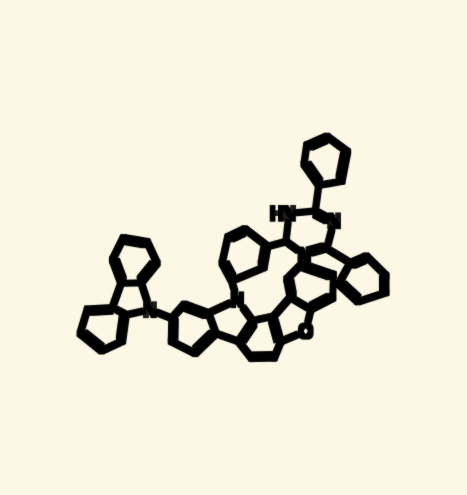 c1ccc(C2=NC(c3cccc(-n4c5cc(-n6c7ccccc7c7ccccc76)ccc5c5ccc6oc7ccccc7c6c54)c3)NC(c3ccccc3)=N2)cc1